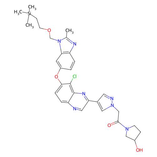 Cc1nc2ccc(Oc3ccc4ncc(-c5cnn(CC(=O)N6CCC(O)C6)c5)nc4c3Cl)cc2n1COCC[Si](C)(C)C